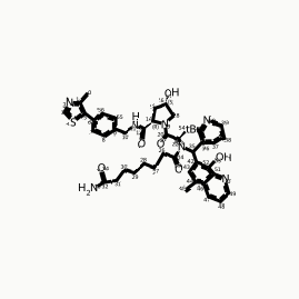 Cc1ncsc1-c1ccc(CNC(=O)[C@H]2C[C@H](O)CN2C(=O)[C@H](N(C(=O)CCCCCCC(N)=O)C(c2cccnc2)c2cc(C)c3cccnc3c2O)C(C)(C)C)cc1